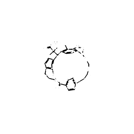 COC(=O)C(C)(C)C1c2ccc3c(c2)CN(CC3)C(=O)c2ccc(cc2)CCCCCn2nnc3c(C)c1ccc32